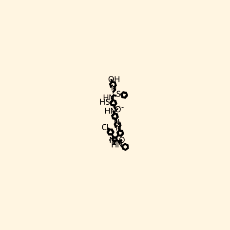 Cc1c(C(=O)NC2CCCCC2)c(-c2cccc(N3CCN(c4ccc(N[S+]([O-])c5ccc(N[C@H](CCN6CCC(O)CC6)CSc6ccccc6)c(S)c5)cc4)CC3)c2)c(-c2ccc(Cl)cc2)n1C